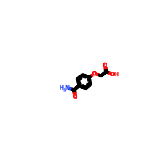 NC(=O)c1ccc(OCC(=O)O)cc1